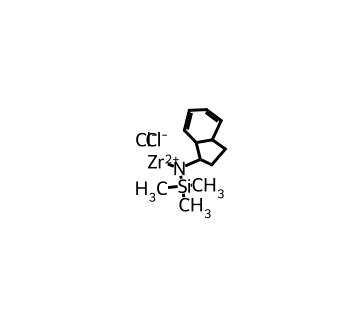 C[Si](C)(C)[N]([Zr+2])C1CCC2C=CC=CC21.[Cl-].[Cl-]